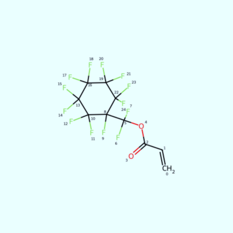 C=CC(=O)OC(F)(F)C1(F)C(F)(F)C(F)(F)C(F)(F)C(F)(F)C1(F)F